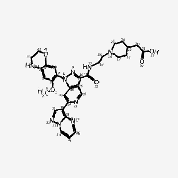 COc1cc2c(cc1-n1nc(C(=O)NCCN3CCC(CC(=O)O)CC3)c3cnc(-c4cnn5cccnc45)cc31)OCCN2